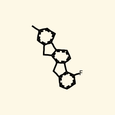 Cc1ccc2c(c1)Cc1c-2ccc2c1Cc1cccc(F)c1-2